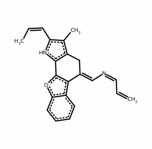 C=C/C=N\C=C1/Cc2c([nH]c(/C=C\C)c2C)-c2oc3ccccc3c21